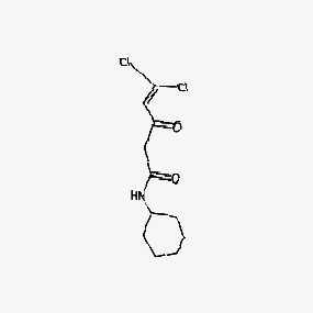 O=C(C=C(Cl)Cl)CC(=O)NC1CCCCC1